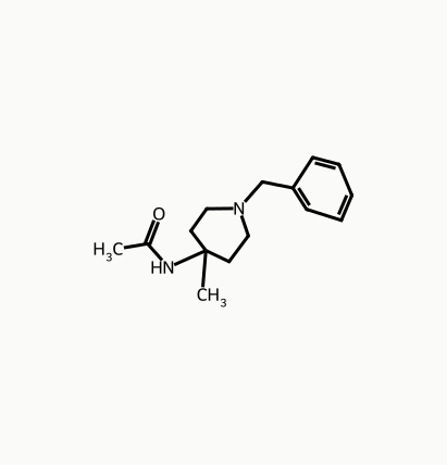 CC(=O)NC1(C)CCN(Cc2ccccc2)CC1